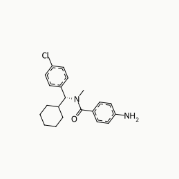 CN(C(=O)c1ccc(N)cc1)[C@@H](c1ccc(Cl)cc1)C1CCCCC1